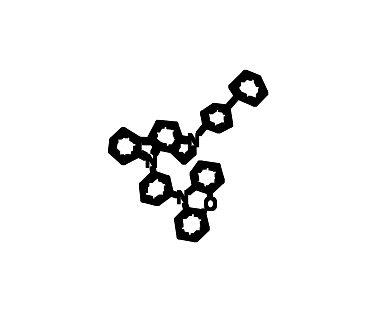 c1ccc(-c2ccc(-n3ccc4c3ccc3c5ccccc5n(-c5cccc(N6c7ccccc7Oc7ccccc76)c5)c34)cc2)cc1